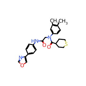 Cc1ccc(N(CC(=O)Nc2ccc(-c3cocn3)cc2)C(=O)C2CCSCC2)cc1C